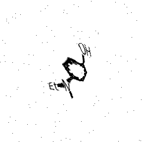 CCN(C)c1ccc(O)cc1